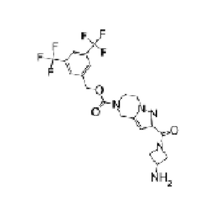 NC1CN(C(=O)c2cc3n(n2)CCN(C(=O)OCc2cc(C(F)(F)F)cc(C(F)(F)F)c2)C3)C1